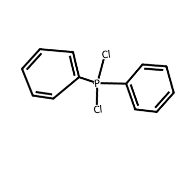 Cl[P](Cl)(c1ccccc1)c1ccccc1